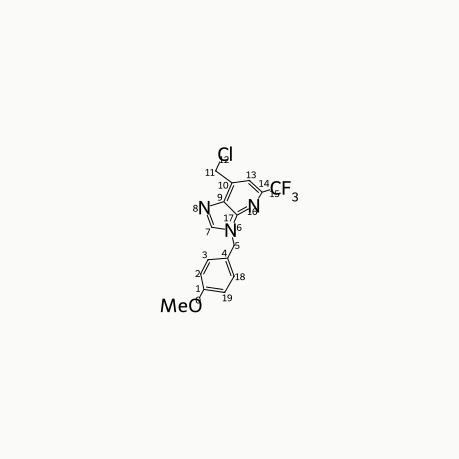 COc1ccc(Cn2cnc3c(CCl)cc(C(F)(F)F)nc32)cc1